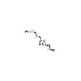 CCCCCCCCCCN=NN=N.[Cu]